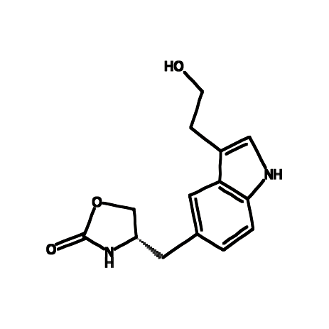 O=C1N[C@@H](Cc2ccc3[nH]cc(CCO)c3c2)CO1